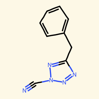 N#Cn1nnc(Cc2ccccc2)n1